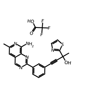 Cc1cc2cnc(-c3cccc(C#CC(C)(O)c4nccs4)c3)nc2c(N)n1.O=C(O)C(F)(F)F